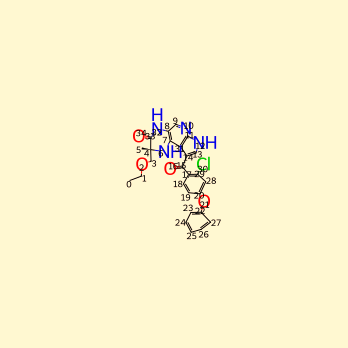 CCOC[C@@]1(C)Nc2c(cnc3[nH]cc(C(=O)c4ccc(Oc5ccccc5)cc4Cl)c23)NC1=O